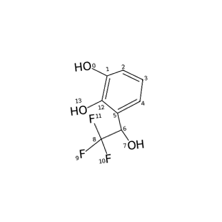 Oc1cccc(C(O)C(F)(F)F)c1O